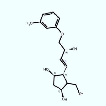 CC(C)CC1[C@@H](/C=C/[C@@H](O)COc2cccc(C(F)(F)F)c2)[C@H](O)C[C@@H]1O